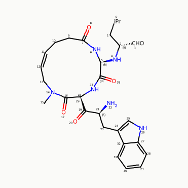 CC(C)C[C@H](C=O)N[C@@H]1NC(=O)CCC=CCN(C)C(=O)[C@H](C(=O)[C@@H](N)Cc2c[nH]c3ccccc23)NC1=O